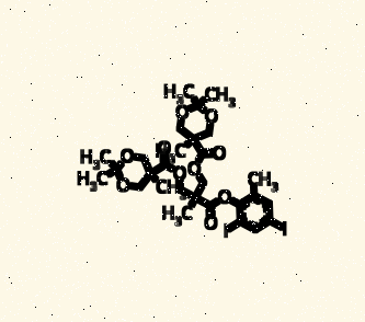 Cc1cc(I)cc(I)c1OC(=O)C(C)(COC(=O)C1(C)COC(C)(C)OC1)COC(=O)C1(C)COC(C)(C)OC1